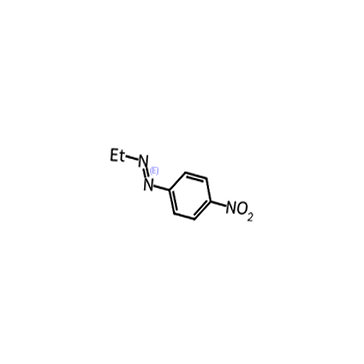 CC/N=N/c1ccc([N+](=O)[O-])cc1